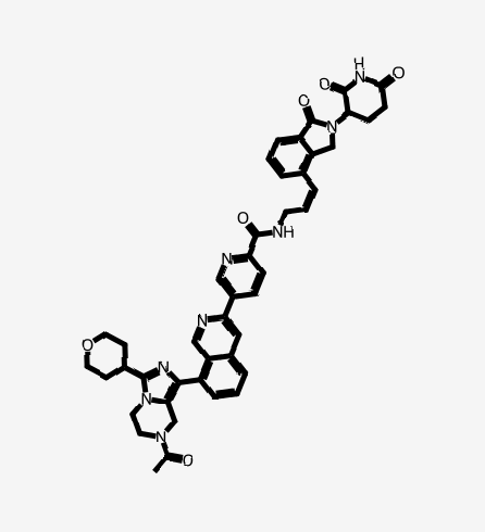 CC(=O)N1CCn2c(C3CCOCC3)nc(-c3cccc4cc(-c5ccc(C(=O)NC/C=C\c6cccc7c6CN(C6CCC(=O)NC6=O)C7=O)nc5)ncc34)c2C1